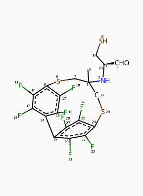 CC1(N[C@H](C=O)CS)CSc2c(F)c(F)c(c(F)c2F)-c2c(F)c(F)c(c(F)c2F)SC1